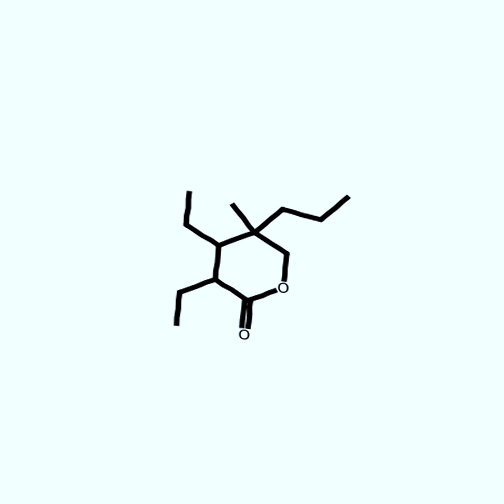 CCCC1(C)COC(=O)C(CC)C1CC